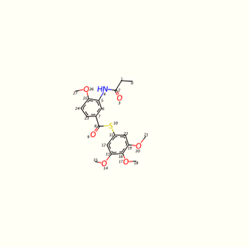 CCC(=O)Nc1cc(C(=O)Sc2cc(OC)c(OC)c(OC)c2)ccc1OC